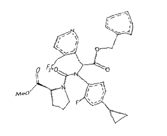 COC(=O)[C@@H]1CCCN1C(=O)N(c1ccc(C2CC2)cc1F)C(C(=O)OCc1ccccc1)c1cnccc1C(F)(F)F